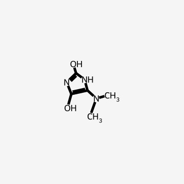 CN(C)c1[nH]c(O)nc1O